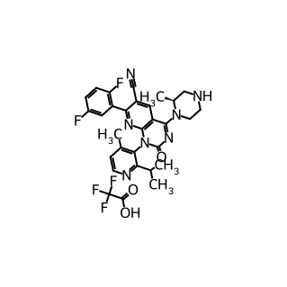 Cc1ccnc(C(C)C)c1-n1c(=O)nc(N2CCNC[C@@H]2C)c2cc(C#N)c(-c3cc(F)ccc3F)nc21.O=C(O)C(F)(F)F